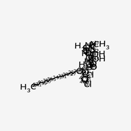 C=Nn1c(/C(N)=N\C)ccc1[C@]1(C#N)O[C@@H]2C(OP(=O)(O)OC[C@@H](COCCCCCCCCCCCCCCCCCC)OCc3ccc(Cl)cc3Cl)[C@]2(O)[C@H]1O